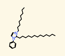 CCCCCCCCCCCCCC1N(CCCCCCCCC)C=CN1c1ccccc1